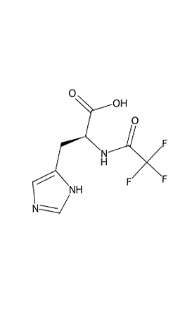 O=C(O)[C@H](Cc1cnc[nH]1)NC(=O)C(F)(F)F